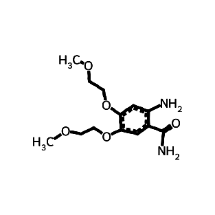 COCCOc1cc(N)c(C(N)=O)cc1OCCOC